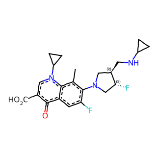 Cc1c(N2C[C@@H](CNC3CC3)[C@H](F)C2)c(F)cc2c(=O)c(C(=O)O)cn(C3CC3)c12